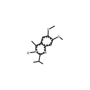 COc1cc2nc(C(C)C)[n+]([O-])c(C)c2cc1OC